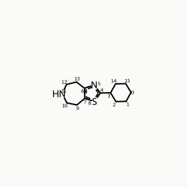 C1CCC(c2nc3c(s2)CCNCC3)CC1